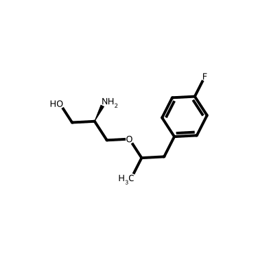 CC(Cc1ccc(F)cc1)OC[C@H](N)CO